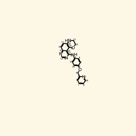 c1ccc(COc2ccc(Nc3ncnc4ccc5c(c34)OCCN5)cc2)nc1